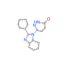 O=c1ccc(-n2c(-c3ccccc3)nc3ccccc32)n[nH]1